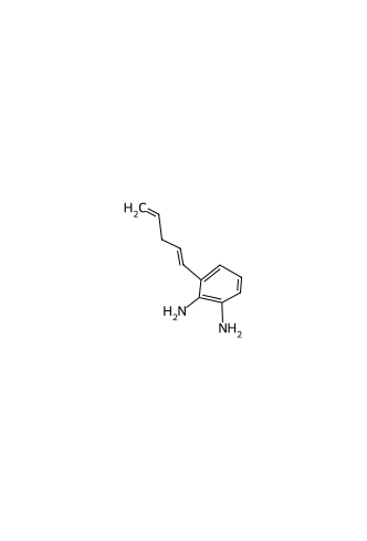 C=CCC=Cc1cccc(N)c1N